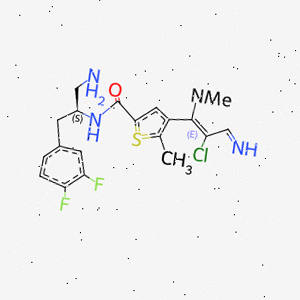 CN/C(=C(/Cl)C=N)c1cc(C(=O)N[C@H](CN)Cc2ccc(F)c(F)c2)sc1C